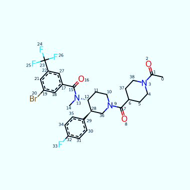 CC(=O)N1CCC(C(=O)N2CC[C@@H](N(C)C(=O)c3cc(Br)cc(C(F)(F)F)c3)[C@H](c3ccc(F)cc3)C2)CC1